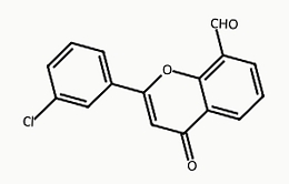 O=Cc1cccc2c(=O)cc(-c3cccc(Cl)c3)oc12